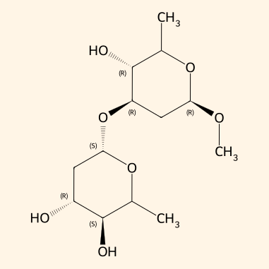 CO[C@H]1C[C@@H](O[C@H]2C[C@@H](O)[C@H](O)C(C)O2)[C@H](O)C(C)O1